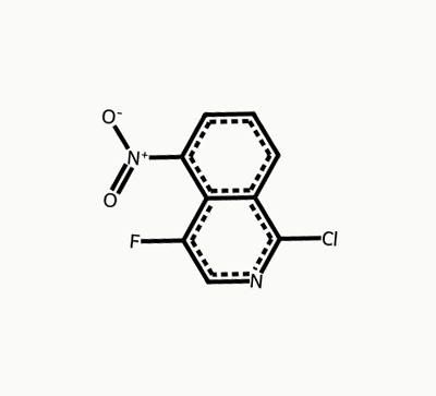 O=[N+]([O-])c1cccc2c(Cl)ncc(F)c12